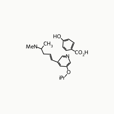 CNC(C)C/C=C/c1cncc(OC(C)C)c1.O=C(O)c1ccc(O)cc1